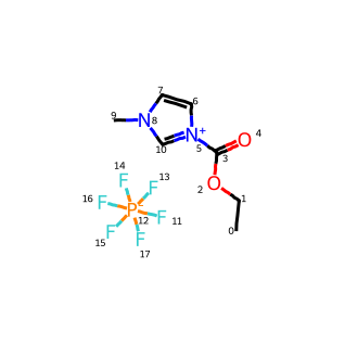 CCOC(=O)[n+]1ccn(C)c1.F[P-](F)(F)(F)(F)F